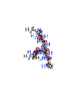 CCCCC1C=C(C[C@H](NC(=O)CNC(=O)CNC(=O)CNC(=O)[C@H](CSSC[C@H](NC(=O)C[C@@H](C)CC)C(N)=O)NC(=O)CNC(=O)CCc2c[nH]c3ccccc23)C(N)=O)N=N1